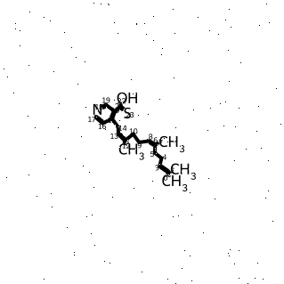 CC(C)=CCCC(C)=CCCC(C)=CCc1ccncc1C(O)=S